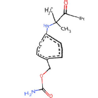 CC(C)C(=O)C(C)(C)Nc1ccc(COC(N)=O)cc1